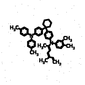 C=C/C(C)=C\C=C(/C)N(c1ccc(C2(c3ccc(N(c4ccc(C)cc4)c4ccc(C)cc4)cc3)CCCCC2)cc1)c1ccc(C)c(C)c1